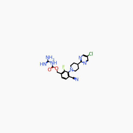 N#Cc1ccc(COC(=O)NC(=N)N)c(F)c1N1CCC(c2ncc(Cl)cn2)CC1